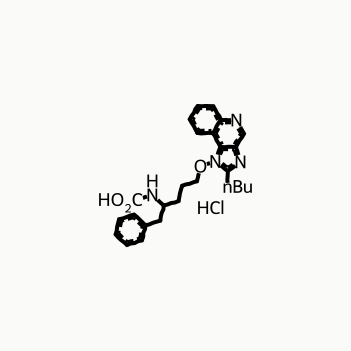 CCCCc1nc2cnc3ccccc3c2n1OCCCC(Cc1ccccc1)NC(=O)O.Cl